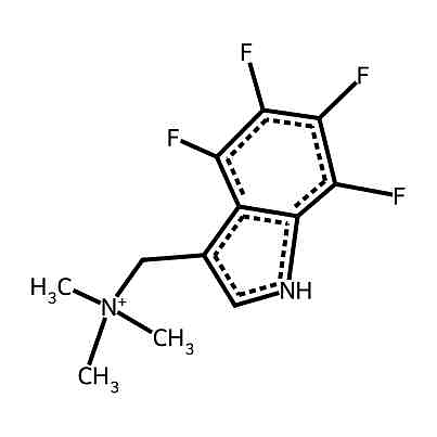 C[N+](C)(C)Cc1c[nH]c2c(F)c(F)c(F)c(F)c12